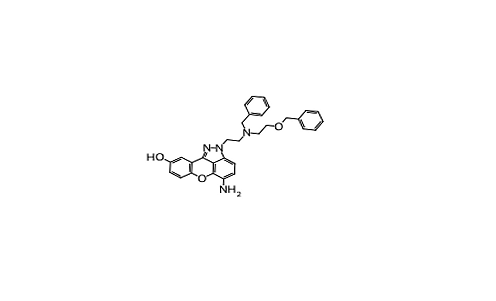 Nc1ccc2c3c(nn2CCN(CCOCc2ccccc2)Cc2ccccc2)-c2cc(O)ccc2Oc13